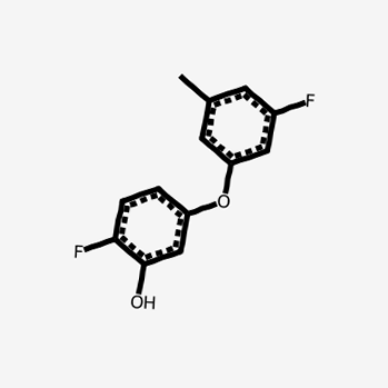 Cc1cc(F)cc(Oc2ccc(F)c(O)c2)c1